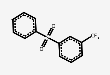 O=S(=O)(c1cc[c]cc1)c1cccc(C(F)(F)F)c1